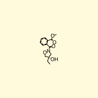 CC[C@@]1(O)CON(C(=O)c2ccccc2C(=O)OC)C1